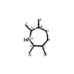 CC1CCC(C)C(C)NC1C